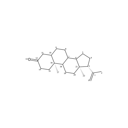 C=C(C)[C@H]1CCC2C3CCC4CC(=O)CC[C@]4(C)C3CC[C@@]21C